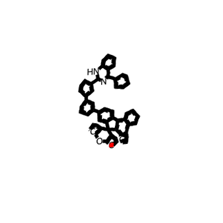 c1ccc(C2=NC(c3cccc(-c4cccc(-c5ccc6c(c5)C5(c7ccccc7Oc7ccccc75)c5c-6c6ccccc6c6ccccc56)c4)c3)Nc3ccccc32)cc1